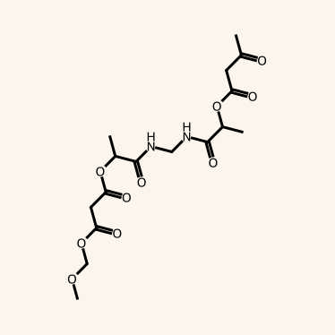 COCOC(=O)CC(=O)OC(C)C(=O)NCNC(=O)C(C)OC(=O)CC(C)=O